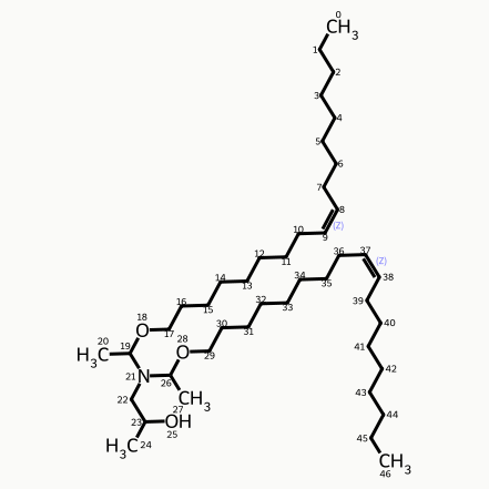 CCCCCCCC/C=C\CCCCCCCCOC(C)N(CC(C)O)C(C)OCCCCCCCC/C=C\CCCCCCCC